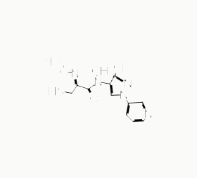 CON=C(CS)C(=O)N(C)c1cn(-c2cccnc2)nc1Cl